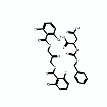 O=C(COC(=O)c1c(Cl)cccc1Cl)COC(=O)c1c(Cl)cccc1Cl.O=C(O)C[C@@H](NC(=O)OCc1ccccc1)C(=O)O